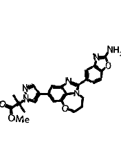 COC(=O)C(C)(C)n1cc(-c2cc3c4c(c2)nc(-c2ccc5oc(N)nc5c2)n4CCCO3)cn1